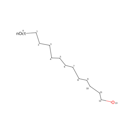 CCCCCCCCCCCCCCCCCCCC[O]